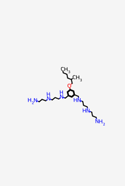 CCCCC(C)COc1cc(CNCCCNCCCN)cc(CNCCCNCCCN)c1